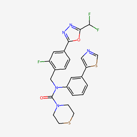 O=C(N1CCSCC1)N(Cc1ccc(-c2nnc(C(F)F)o2)cc1F)c1cccc(-c2cncs2)c1